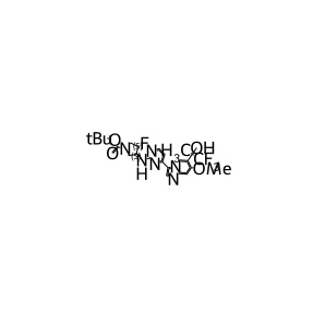 COc1cc2ncc(-c3ccnc(N[C@H]4CN(C(=O)OC(C)(C)C)C[C@@H]4F)n3)n2cc1C(C)(O)C(F)(F)F